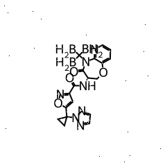 BC(B)(B)N1C(=O)[C@@H](NC(=O)c2cc(C3(n4nccn4)CC3)on2)COc2cccnc21